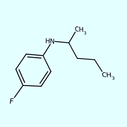 CCCC(C)Nc1ccc(F)cc1